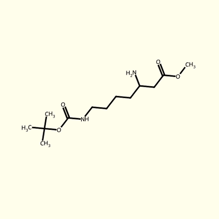 COC(=O)CC(N)CCCCNC(=O)OC(C)(C)C